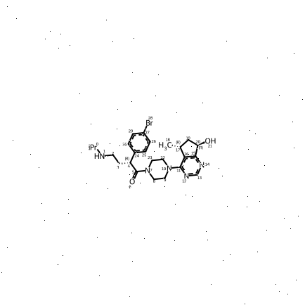 CC(C)NCC[C@@H](C(=O)N1CCN(c2ncnc3c2[C@H](C)C[C@H]3O)CC1)c1ccc(Br)cc1